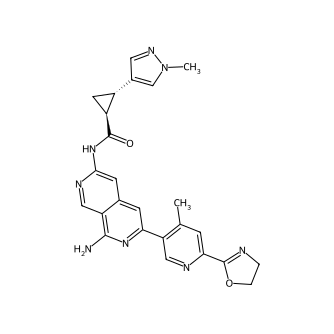 Cc1cc(C2=NCCO2)ncc1-c1cc2cc(NC(=O)[C@H]3C[C@@H]3c3cnn(C)c3)ncc2c(N)n1